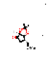 COC[C@@H]1CC(=O)[C@H]2OC(C)(C)OC12